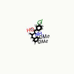 COc1ccc(CC(C)C(N)C(O)c2cccc(Cl)c2)cc1OC